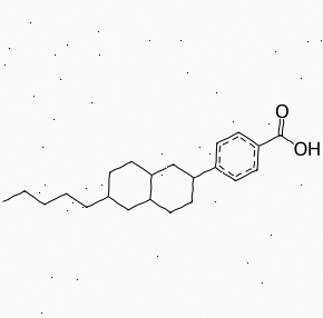 CCCCCC1CCC2CC(c3ccc(C(=O)O)cc3)CCC2C1